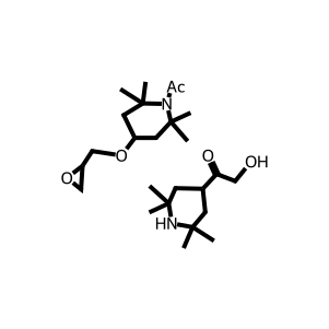 CC(=O)N1C(C)(C)CC(OCC2CO2)CC1(C)C.CC1(C)CC(C(=O)CO)CC(C)(C)N1